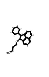 OCCCOC1c2cccc3cccc(c23)C1C1CCCCC1